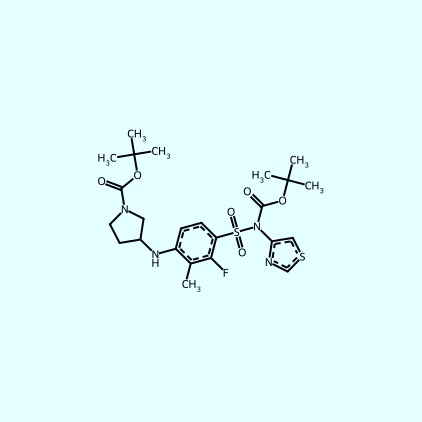 Cc1c(NC2CCN(C(=O)OC(C)(C)C)C2)ccc(S(=O)(=O)N(C(=O)OC(C)(C)C)c2cscn2)c1F